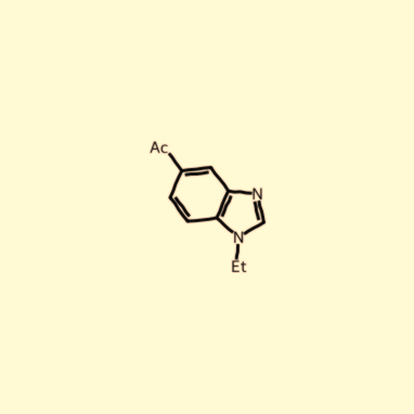 CCn1cnc2cc(C(C)=O)ccc21